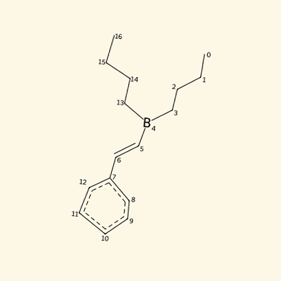 CCCCB(C=Cc1ccccc1)CCCC